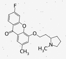 Cc1cc(OCCC2CCCN2C)c2oc3cc(F)ccc3c(=O)c2c1